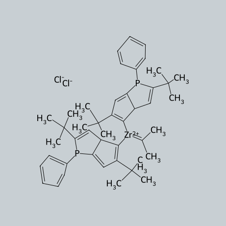 C[C](C)=[Zr+2]([C]1=C(C(C)(C)C)C=C2C1C=C(C(C)(C)C)P2c1ccccc1)[C]1=C(C(C)(C)C)C=C2C1C=C(C(C)(C)C)P2c1ccccc1.[Cl-].[Cl-]